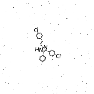 COc1ccc(C=Cc2nc(-c3ccc(Cl)cc3)c(-c3ccc(C)cc3)[nH]2)cc1